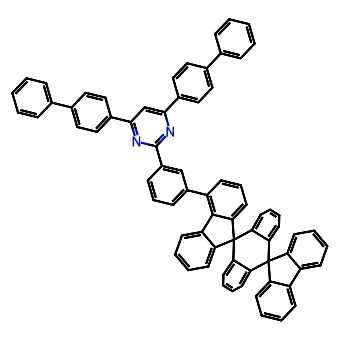 c1ccc(-c2ccc(-c3cc(-c4ccc(-c5ccccc5)cc4)nc(-c4cccc(-c5cccc6c5-c5ccccc5C65c6ccccc6C6(c7ccccc7-c7ccccc76)c6ccccc65)c4)n3)cc2)cc1